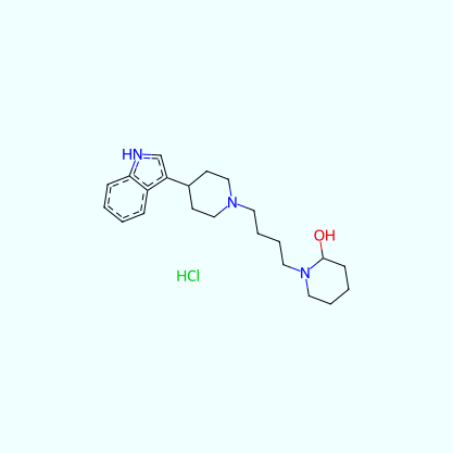 Cl.OC1CCCCN1CCCCN1CCC(c2c[nH]c3ccccc23)CC1